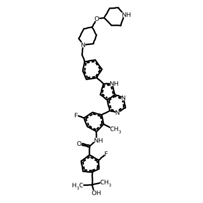 Cc1c(NC(=O)c2ccc(C(C)(C)O)cc2F)cc(F)cc1-c1ncnc2[nH]c(-c3ccc(CN4CCC(OC5CCNCC5)CC4)cc3)cc12